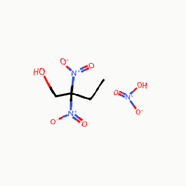 CCC(CO)([N+](=O)[O-])[N+](=O)[O-].O=[N+]([O-])O